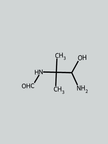 CC(C)(NC=O)C(N)O